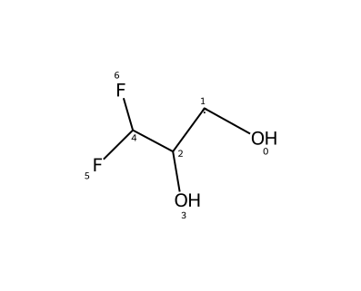 O[CH]C(O)C(F)F